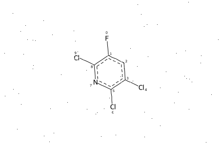 Fc1cc(Cl)c(Cl)nc1Cl